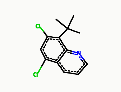 CC(C)(C)c1c(Cl)cc(Cl)c2cccnc12